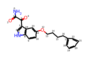 NC(=O)C(=O)c1c[nH]c2ccc(OCCCCc3ccccc3)cc12